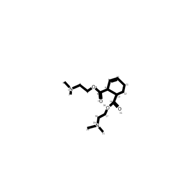 CN(C)CCOC(=O)C1C=CCCC1C(=O)OCCN(C)C